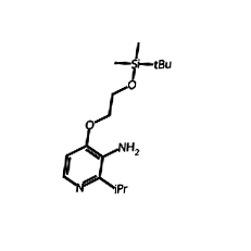 CC(C)c1nccc(OCCO[Si](C)(C)C(C)(C)C)c1N